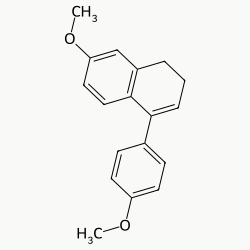 COc1ccc(C2=CCCc3cc(OC)ccc32)cc1